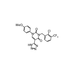 COc1ccc(-n2cc(-c3nnn[nH]3)c(=O)n(Cc3cccc(C(F)(F)F)c3Cl)c2=O)cc1